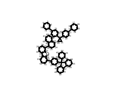 c1ccc(-c2ccc(C3(c4ccc(-c5ccccc5)cc4)C[C@@H]3c3ccc(-c4cccc5c4oc4c(-c6ccc(C7(c8ccccc8)c8ccccc8-c8ccccc87)cc6)cccc45)c4ccccc34)cc2)cc1